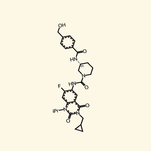 CC(C)n1c(=O)n(CC2CC2)c(=O)c2cc(NC(=O)N3CCC[C@@H](NC(=O)c4ccc(CO)cc4)C3)c(F)cc21